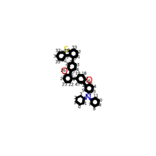 C1=CCCC(N(c2ccccc2)c2ccc3oc4ccc(-c5cccc6oc7cc(-c8cccc9sc%10ccccc%10c89)ccc7c56)cc4c3c2)=C1